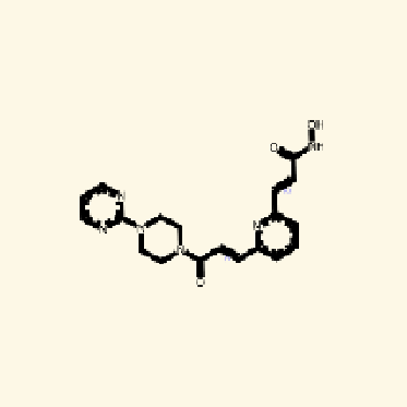 O=C(/C=C/c1cccc(/C=C/C(=O)N2CCN(c3ncccn3)CC2)n1)NO